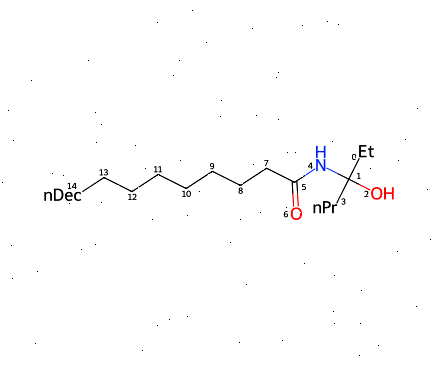 [CH2]CC(O)(CCC)NC(=O)CCCCCCCCCCCCCCCCC